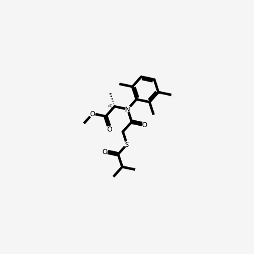 COC(=O)[C@H](C)N(C(=O)CSC(=O)C(C)C)c1c(C)ccc(C)c1C